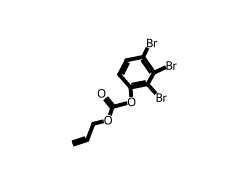 C=CCOC(=O)Oc1ccc(Br)c(Br)c1Br